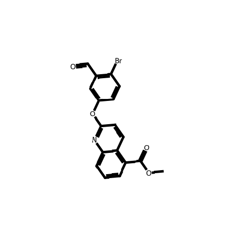 COC(=O)c1cccc2nc(Oc3ccc(Br)c(C=O)c3)ccc12